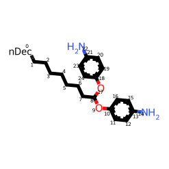 CCCCCCCCCCCCCCCCCC(Oc1ccc(N)cc1)Oc1ccc(N)cc1